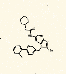 CCCCc1nc2ccc(NC(=O)CC3CCCCC3)cc2n1Cc1ccc(-c2ccccc2C)cc1